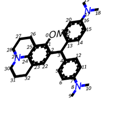 COc1c(C(c2ccc(N(C)C)cc2)c2ccc(N(C)C)cc2)cc2c3c1CCCN3CCC2